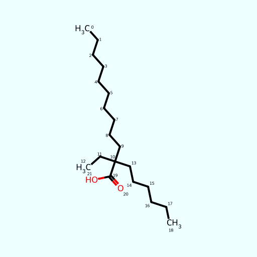 CCCCCCCCCCC(CC)(CCCCCC)C(=O)O